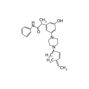 C=C(/C=C\C(C)=C/C)N1CCN(c2cc(O)cc(C(C)C(=O)Nc3ccccc3)c2)CC1